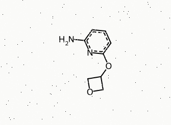 Nc1cccc(OC2COC2)n1